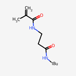 C=C(C)C(=O)NCCC(=O)NC(C)(C)C